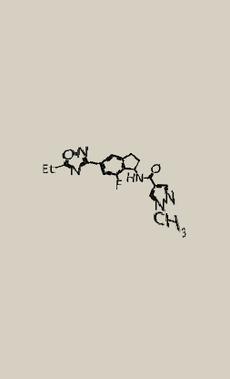 CCc1nc(-c2cc(F)c3c(c2)CCC3NC(=O)c2cnn(C)c2)no1